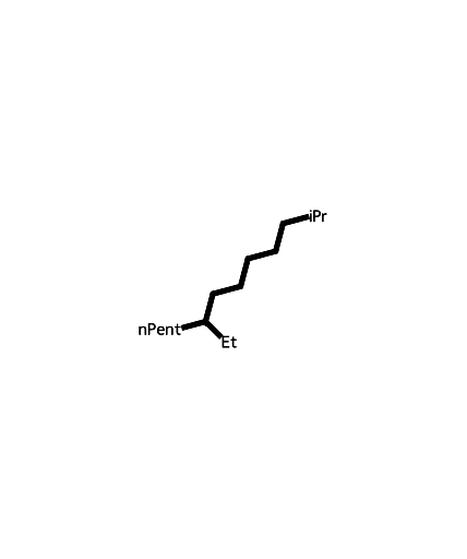 CCCCC[C](CC)CCCCCC(C)C